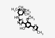 COc1cc(-c2ncc(C)o2)cc(O)c1-c1nnc(NC2CC(C)(C)NC(C)(C)C2)s1